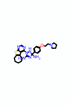 NC1=NC(N)(c2ccc(OCCN3CCCC3)cc2)NN1c1ncnc2sc3c(c12)CCCCC3